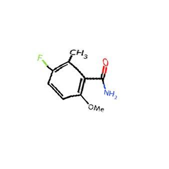 COc1ccc(F)c(C)c1C(N)=O